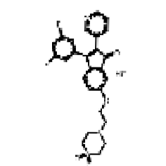 Cl.O=C1C(c2cccnc2)=C(c2cc(F)cc(F)c2)c2ccc(OCCN3CCS(=O)(=O)CC3)cc21